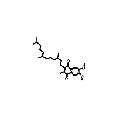 COc1cc2c(cc1OC)C(=O)C(CCC(C)CCCC(C)CCCC(C)C)=C(C)C2=O